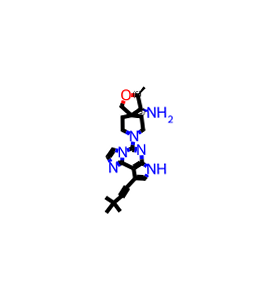 C[C@@H]1OCC2(CCN(c3nc4[nH]cc(C#CC(C)(C)C)c4c4nccn34)CC2)[C@@H]1N